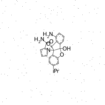 CC(C)c1ccc2c(c1)OC1(O)c3cccc(N)c3C(=O)C21n1cccc1C(N)=O